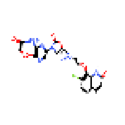 Cc1cc(=O)n(C)c2c(OCCNC[C@H]3CN(c4cnc5c(n4)NC(=O)CO5)C(=O)O3)c(F)ccc12